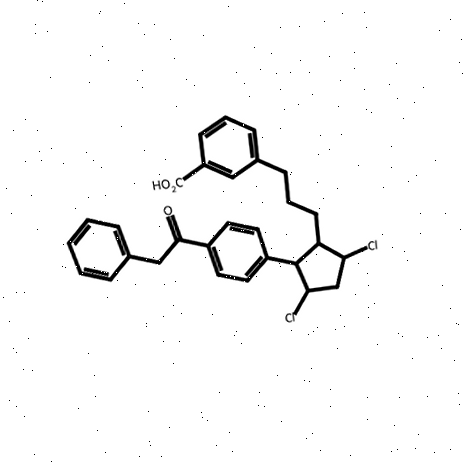 O=C(O)c1cccc(CCCC2C(Cl)CC(Cl)C2c2ccc(C(=O)Cc3ccccc3)cc2)c1